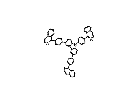 c1ccc2c(-c3ccc(-c4ccc5c(c4)c4cc(-c6ccc(-c7nccc8ccccc78)cc6)ccc4n5-c4ccc(-c5nccc6ccccc56)cc4)cc3)nccc2c1